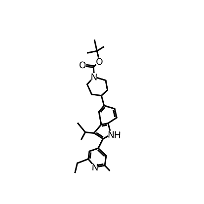 CCc1cc(-c2[nH]c3ccc(C4CCN(C(=O)OC(C)(C)C)CC4)cc3c2C(C)C)cc(C)n1